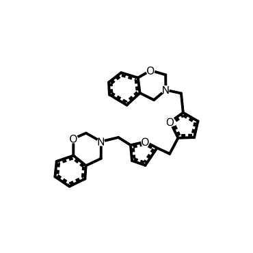 c1ccc2c(c1)CN(Cc1ccc(Cc3ccc(CN4COc5ccccc5C4)o3)o1)CO2